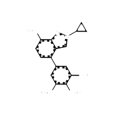 COc1cc(-c2ccc(OC)c3nn(C4CC4)cc23)cc(OC)c1OC